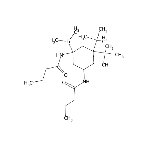 CCCC(=O)NC1C[C](NC(=O)CCC)([Ti]([CH3])[CH3])CC(C(C)(C)C)(C(C)(C)C)C1